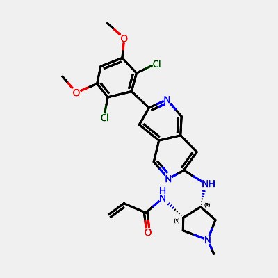 C=CC(=O)N[C@H]1CN(C)C[C@H]1Nc1cc2cnc(-c3c(Cl)c(OC)cc(OC)c3Cl)cc2cn1